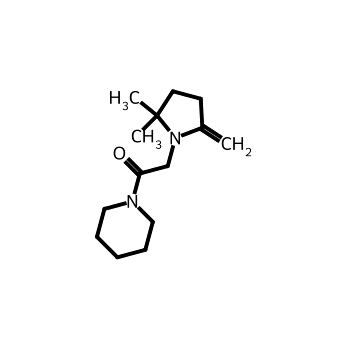 C=C1CCC(C)(C)N1CC(=O)N1CCCCC1